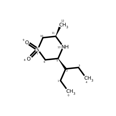 CCC(CC)[C@H]1CS(=O)(=O)C[C@@H](C)N1